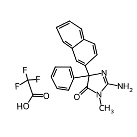 CN1C(=O)C(c2ccccc2)(c2ccc3ccccc3c2)N=C1N.O=C(O)C(F)(F)F